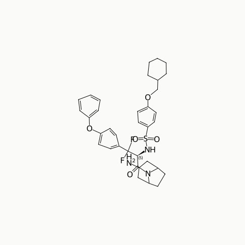 NC1CC2CCC(C1)N2C(=O)[C@H](NS(=O)(=O)c1ccc(OCC2CCCCC2)cc1)C(F)(F)c1ccc(Oc2ccccc2)cc1